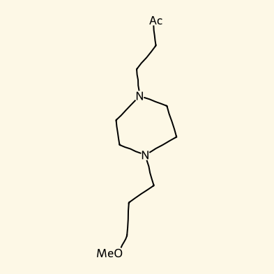 COCCCN1CCN(CCC(C)=O)CC1